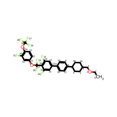 CCOCC1CCC(c2ccc(-c3cc(F)c(C(F)(F)Oc4ccc(OC(F)(F)F)c(F)c4)c(F)c3)cc2)CC1